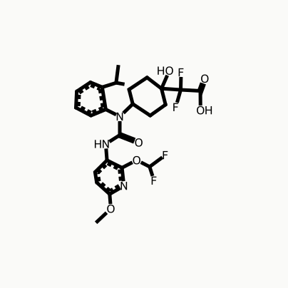 COc1ccc(NC(=O)N(c2ccccc2C(C)C)C2CCC(O)(C(F)(F)C(=O)O)CC2)c(OC(F)F)n1